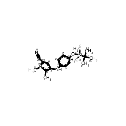 Cc1c(Nc2ccc(O[Si](C)(C)C(C)(C)C)cc2)cc(C#N)n1C